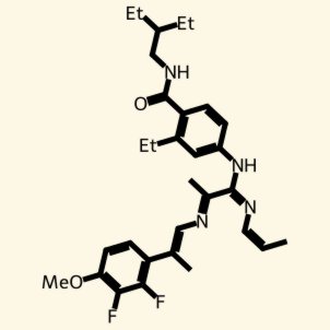 C\C=C/N=C(Nc1ccc(C(=O)NCC(CC)CC)c(CC)c1)\C(C)=N\C=C(/C)c1ccc(OC)c(F)c1F